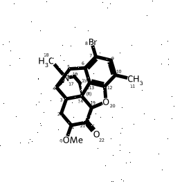 COC1CC2C3Cc4c(Br)cc(C)c5c4[C@]2(CCN3C)C(O5)C1=O